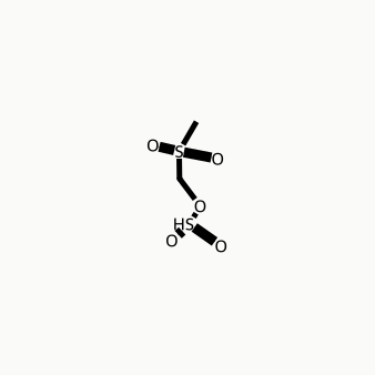 CS(=O)(=O)CO[SH](=O)=O